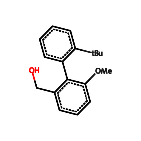 COc1cccc(CO)c1-c1ccccc1C(C)(C)C